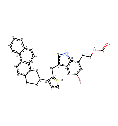 O=COCCc1cc(Br)cc2c(Cc3sccc3C3CCc4ccc5c(ccc6ccccc65)c4C3)c[nH]c12